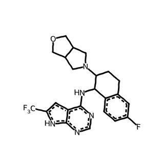 Fc1ccc2c(c1)CCC(N1CC3COCC3C1)C2Nc1ncnc2[nH]c(C(F)(F)F)cc12